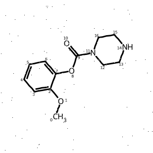 COc1ccccc1OC(=O)N1CCNCC1